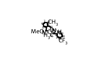 CO/N=C(/C(=O)O)c1cccc(C)c1CO/N=C(\C)c1cc(C(F)(F)F)ccn1